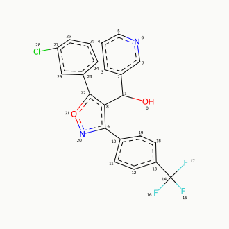 OC(c1cccnc1)c1c(-c2ccc(C(F)(F)F)cc2)noc1-c1cccc(Cl)c1